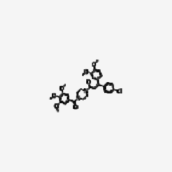 COc1ccc(/C(=C\C(=O)N2CCN(C(=O)c3cc(OC)c(OC)c(OC)c3)CC2)c2ccc(Cl)cc2)cc1OC